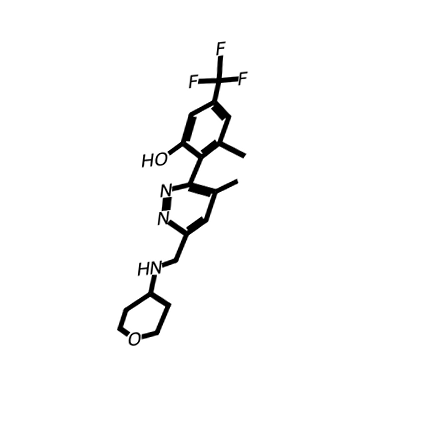 Cc1cc(CNC2CCOCC2)nnc1-c1c(C)cc(C(F)(F)F)cc1O